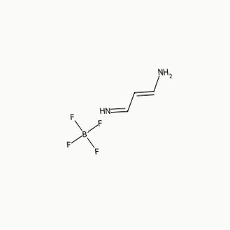 F[B-](F)(F)F.N=CC=CN